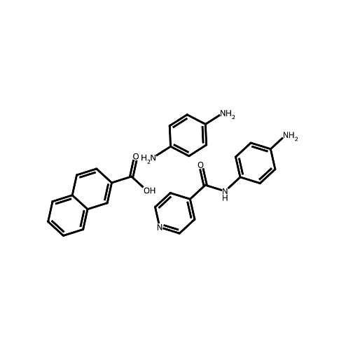 Nc1ccc(N)cc1.Nc1ccc(NC(=O)c2ccncc2)cc1.O=C(O)c1ccc2ccccc2c1